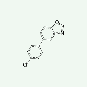 Clc1ccc(-c2ccc3ocnc3c2)cc1